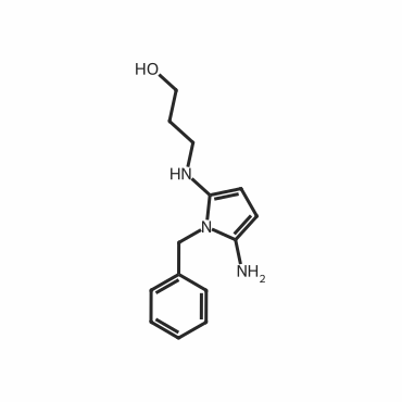 Nc1ccc(NCCCO)n1Cc1ccccc1